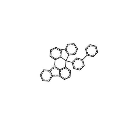 Cc1ccccc1C1(c2cccc(-c3ccccc3)c2)c2ccccc2-n2c3ccccc3c3cccc1c32